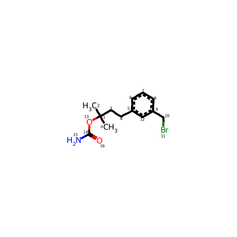 CC(C)(CCc1cccc(CBr)c1)OC(N)=O